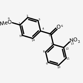 COc1ccc(C(=O)c2ccccc2[N+](=O)[O-])cc1